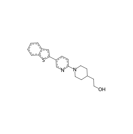 OCCC1CCN(c2ccc(-c3cc4ccccc4s3)cn2)CC1